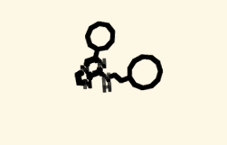 c1cn2cc(C3CCCCCCCC3)nc(NCCC3CCCCCCCCCC3)c2n1